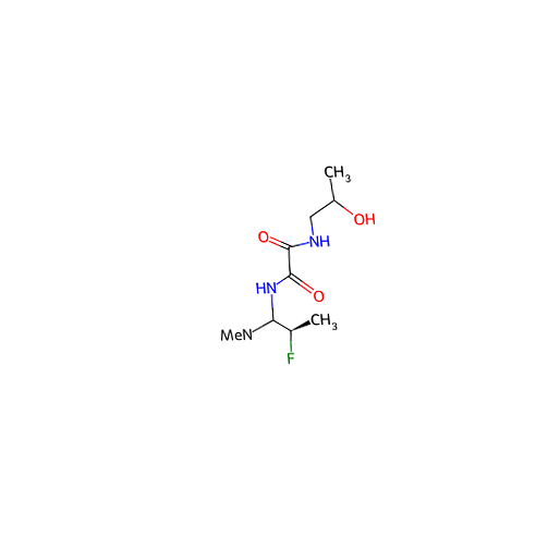 CNC(NC(=O)C(=O)NCC(C)O)[C@@H](C)F